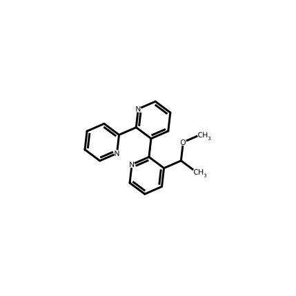 COC(C)c1cccnc1-c1cccnc1-c1ccccn1